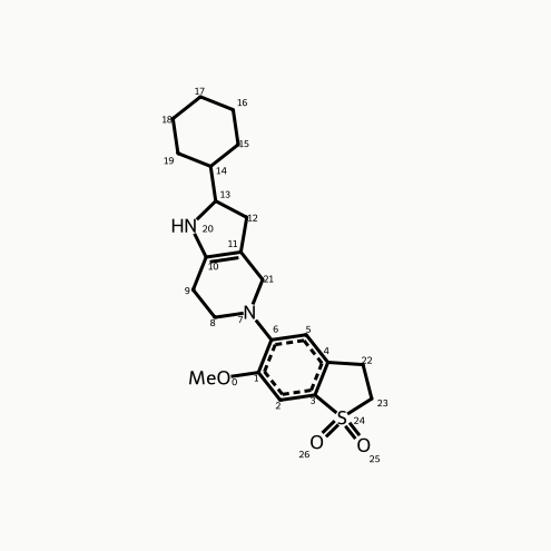 COc1cc2c(cc1N1CCC3=C(CC(C4CCCCC4)N3)C1)CCS2(=O)=O